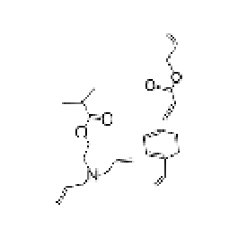 C=CCN(CC=C)CCOC(=O)C(=C)C.C=CCOC(=O)C=C.C=Cc1ccccc1